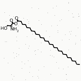 CCCCCCCCCCCCCCCCCCCCCCCCCCCC(=O)OC(=O)[C@@H](N)CO